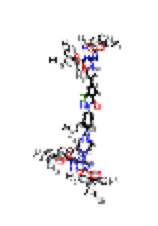 Cc1cc(NC(=O)c2ccc(C3=CCN(/C(=N/C(=O)OC(C)(C)C)NC(=O)OC(C)(C)C)CC3)cc2Cl)ccc1N1CCN(/C(=N/C(=O)OC(C)(C)C)NC(=O)OC(C)(C)C)CC1